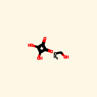 CCO.O=c1c(O)c(O)c1=O